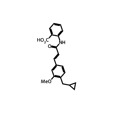 COc1cc(/C=C/C(=O)Nc2ccccc2C(=O)O)ccc1CC1CC1